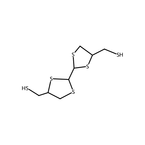 SCC1CSC(C2SCC(CS)S2)S1